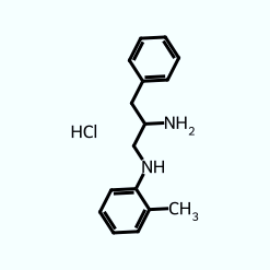 Cc1ccccc1NCC(N)Cc1ccccc1.Cl